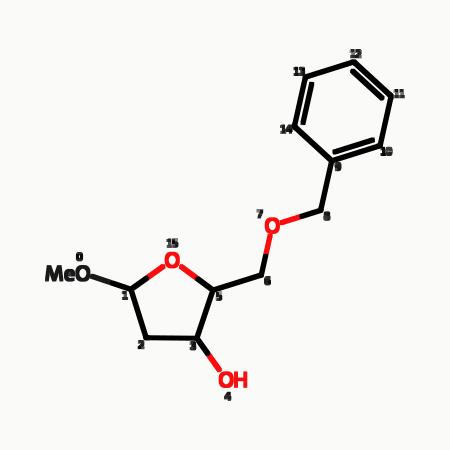 COC1CC(O)C(COCc2ccccc2)O1